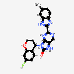 N#Cc1ccc2nc(-c3ncc4[nH]c(=O)n([C@@H]5CCOc6cc(F)ccc65)c4n3)[nH]c2c1